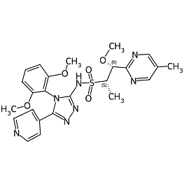 COc1cccc(OC)c1-n1c(NS(=O)(=O)[C@@H](C)[C@H](OC)c2ncc(C)cn2)nnc1-c1ccncc1